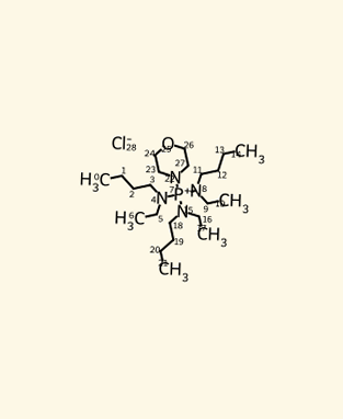 CCCCN(CC)[P+](N(CC)CCCC)(N(CC)CCCC)N1CCOCC1.[Cl-]